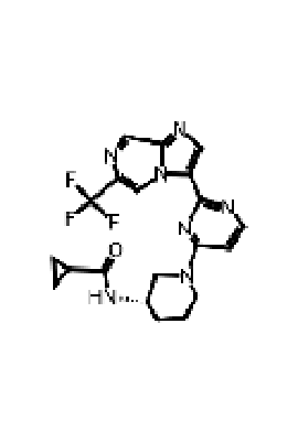 O=C(N[C@H]1CCCN(c2ccnc(-c3cnc4cnc(C(F)(F)F)cn34)n2)C1)C1CC1